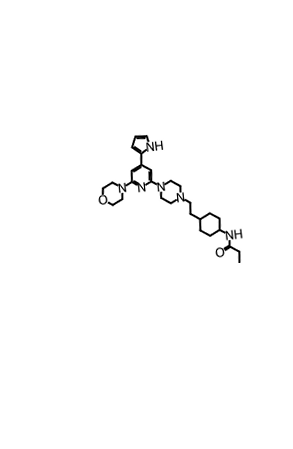 CCC(=O)NC1CCC(CCN2CCN(c3cc(-c4ccc[nH]4)cc(N4CCOCC4)n3)CC2)CC1